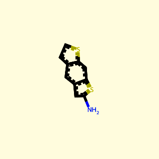 Nc1cc2cc3ccsc3cc2s1